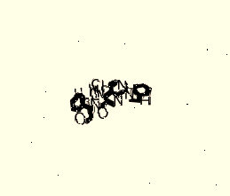 CN(C)c1c(C(=O)N[C@H]2CCOc3ccccc32)cnc2c(N3CC[C@@H]4CCCC[C@@H]43)nccc12